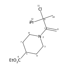 C=C(N1CCC(C(=O)OCC)CC1)C(C)(Cl)C(C)C